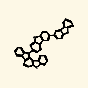 B1c2cc(-n3c4ccccc4c4ccc5sc6ccccc6c5c43)ccc2-c2cc(-c3ccc4sc5ccccc5c4c3)ccc21